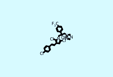 OC(Cn1cncn1)(Cn1c(Cl)cc(C=Cc2ccc(Cl)cc2)c1Cl)c1ccc(C(F)(F)F)cc1